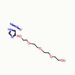 OCCOCCOCCOCCO.[N-]=[N+]=[N-].c1c[nH]cn1